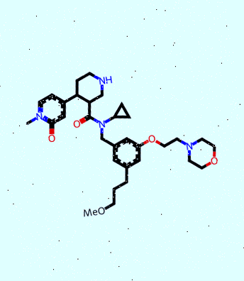 COCCCc1cc(CN(C(=O)C2CNCCC2c2ccn(C)c(=O)c2)C2CC2)cc(OCCN2CCOCC2)c1